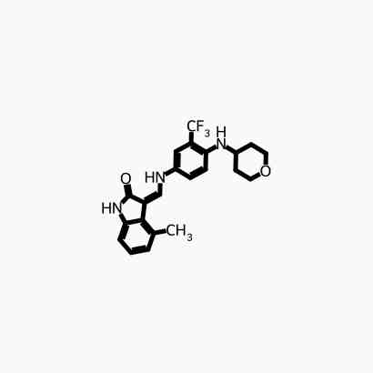 Cc1cccc2c1C(=CNc1ccc(NC3CCOCC3)c(C(F)(F)F)c1)C(=O)N2